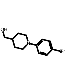 CC(C)c1ccc(N2CCC(CO)CC2)cc1